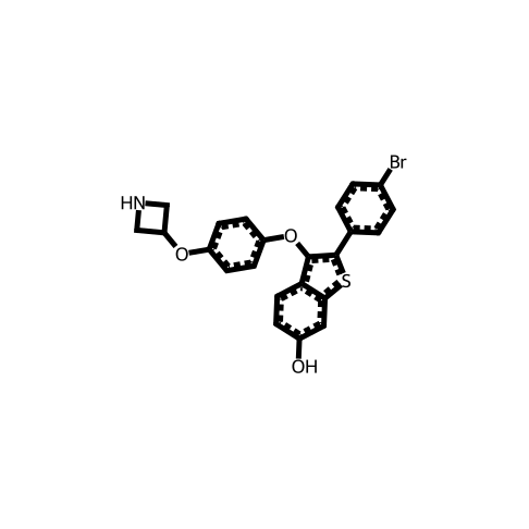 Oc1ccc2c(Oc3ccc(OC4CNC4)cc3)c(-c3ccc(Br)cc3)sc2c1